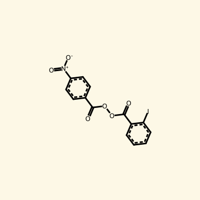 O=C(OOC(=O)c1ccccc1I)c1ccc([N+](=O)[O-])cc1